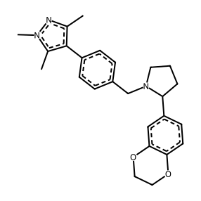 Cc1nn(C)c(C)c1-c1ccc(CN2CCCC2c2ccc3c(c2)OCCO3)cc1